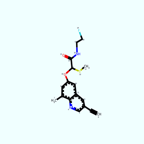 C#Cc1cnc2c(C)cc(OC(SC)C(=O)NCCF)cc2c1